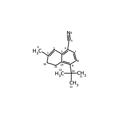 CC1=Cc2c(C#N)ccc(C(C)(C)C)c2CC1